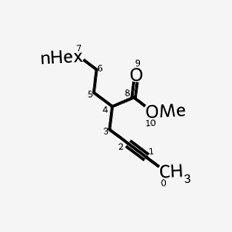 CC#CCC(CCCCCCCC)C(=O)OC